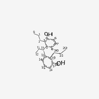 CCCc1c(O)cccc1C(CC)c1cccc(O)c1CCC